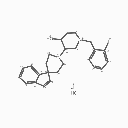 Cl.Cl.OC1CCN(Cc2ccccc2I)CC1N1CCC2(C=Cc3ccccc32)CC1